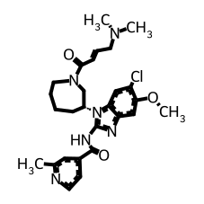 COc1cc2nc(NC(=O)c3ccnc(C)c3)n([C@@H]3CCCCN(C(=O)C=CCN(C)C)C3)c2cc1Cl